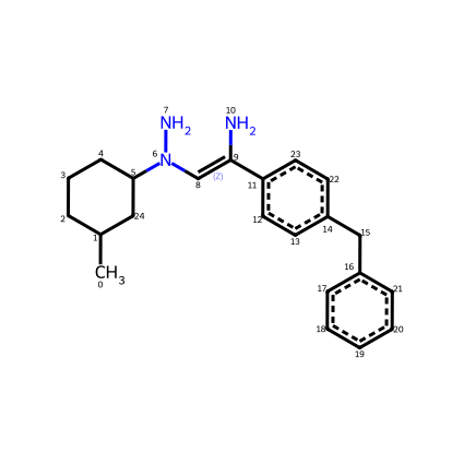 CC1CCCC(N(N)/C=C(\N)c2ccc(Cc3ccccc3)cc2)C1